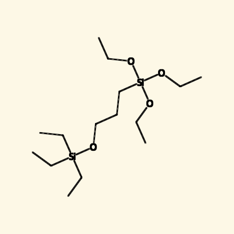 CCO[Si](CCCO[Si](CC)(CC)CC)(OCC)OCC